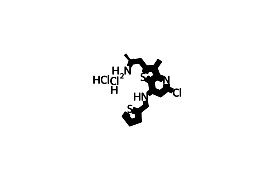 Cc1c(C[C@H](C)N)sc2c(NCc3cccs3)cc(Cl)nc12.Cl.Cl